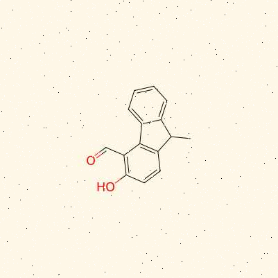 CC1c2ccccc2-c2c1ccc(O)c2C=O